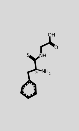 N[C@@H](Cc1ccccc1)C(=S)NCC(=O)O